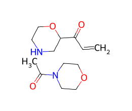 C=CC(=O)C1CNCCO1.CC(=O)N1CCOCC1